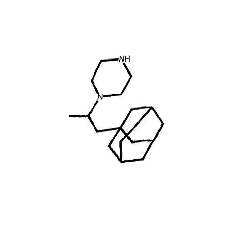 CC(CC12CC3CC(CC(C3)C1)C2)N1CCNCC1